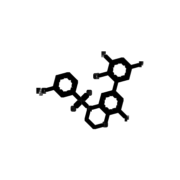 O=S(=O)(c1cccc(C(F)(F)F)c1)N1CCOc2c(F)cc(-c3cc(F)cc(F)c3Cl)cc21